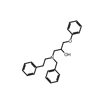 OC(COc1ccccc1)CN(CCc1ccccc1)Cc1ccccc1